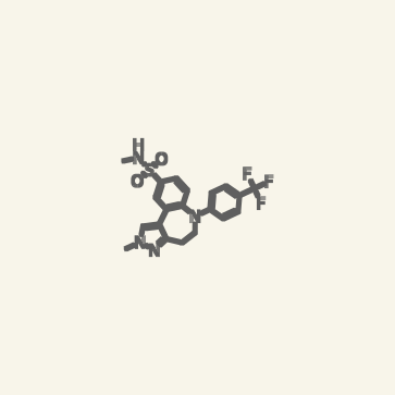 CNS(=O)(=O)c1ccc2c(c1)-c1cn(C)nc1CCN2c1ccc(C(F)(F)F)cc1